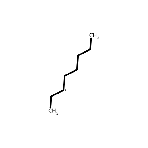 CC[C]CCCCC